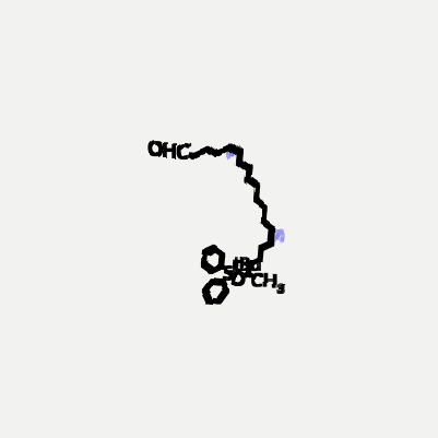 CC(CCC/C=C\CCCCCCC/C=C\CCCC=O)O[Si](c1ccccc1)(c1ccccc1)C(C)(C)C